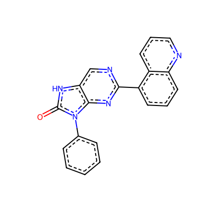 O=c1[nH]c2cnc(-c3cccc4ncccc34)nc2n1-c1ccccc1